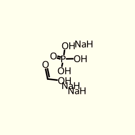 O=CO.O=P(O)(O)O.[NaH].[NaH].[NaH]